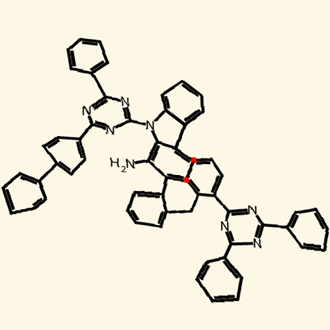 Nc1c(-c2ccccc2Cc2ccccc2-c2nc(-c3ccccc3)nc(-c3ccccc3)n2)ccc2c3ccccc3n(-c3nc(-c4ccccc4)nc(-c4ccc(-c5ccccc5)cc4)n3)c12